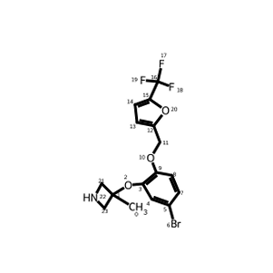 CC1(Oc2cc(Br)ccc2OCc2ccc(C(F)(F)F)o2)CNC1